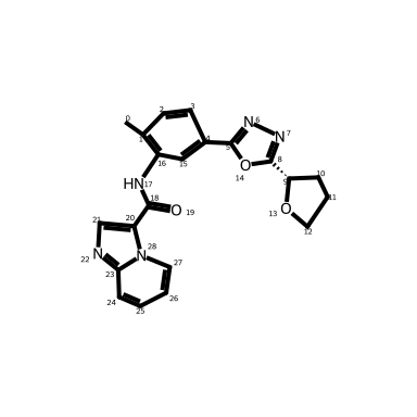 Cc1ccc(-c2nnc([C@@H]3CCCO3)o2)cc1NC(=O)c1cnc2ccccn12